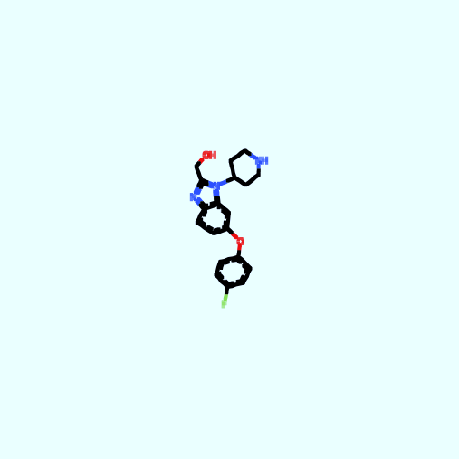 OCc1nc2ccc(Oc3ccc(F)cc3)cc2n1C1CCNCC1